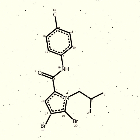 CC(C)Cn1c(C(=O)Nc2ccc(Cl)cc2)cc(Br)c1Br